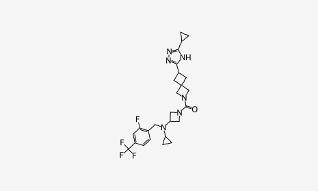 O=C(N1CC(N(Cc2ccc(C(F)(F)F)cc2F)C2CC2)C1)N1CC2(CC(c3nnc(C4CC4)[nH]3)C2)C1